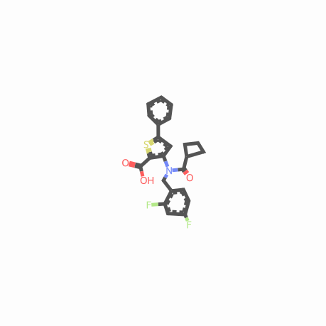 O=C(O)c1sc(-c2ccccc2)cc1N(Cc1ccc(F)cc1F)C(=O)C1CCC1